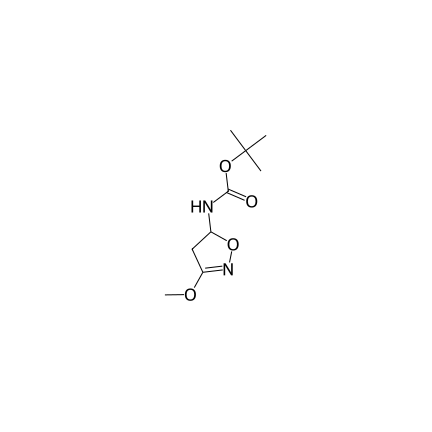 COC1=NOC(NC(=O)OC(C)(C)C)C1